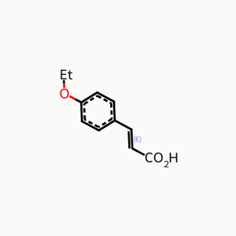 CCOc1ccc(/C=C/C(=O)O)cc1